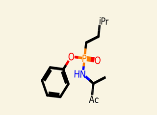 CC(=O)C(C)NP(=O)(CCC(C)C)Oc1ccccc1